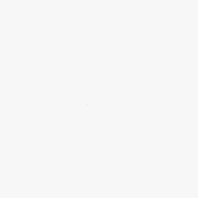 CCC[Se]